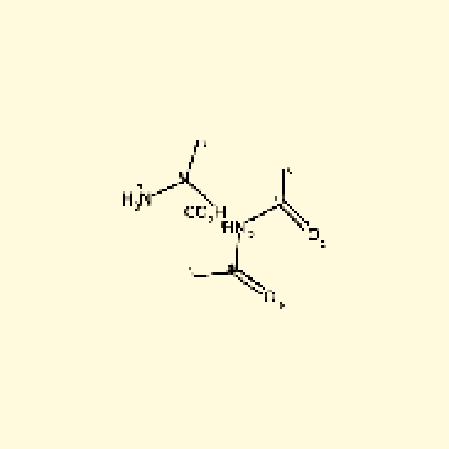 CC(=O)NC(C)=O.CC(N)C(=O)O